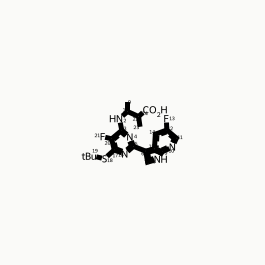 CC(Nc1nc(-c2c[nH]c3ncc(F)cc23)nc(SC(C)(C)C)c1F)C(C)C(=O)O